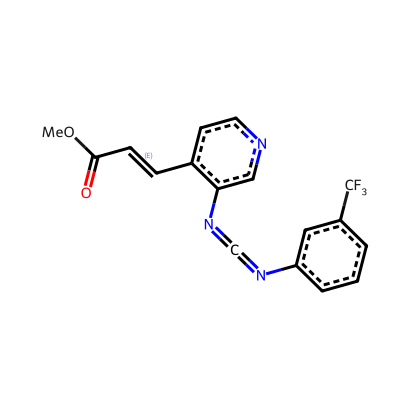 COC(=O)/C=C/c1ccncc1N=C=Nc1cccc(C(F)(F)F)c1